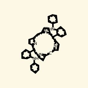 C1=Cc2nc1cc1ccc([nH]1)c(-c1ccccc1Nc1ccccc1)c1nc(cc3ccc([nH]3)c2-c2ccccc2Nc2ccccc2)C=C1